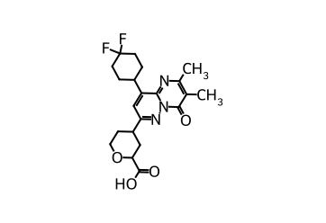 Cc1nc2c(C3CCC(F)(F)CC3)cc(C3CCOC(C(=O)O)C3)nn2c(=O)c1C